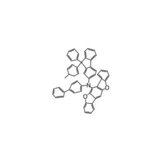 CC1C=CC(C2(c3ccccc3)c3ccccc3-c3ccc(N(c4ccc(-c5ccccc5)cc4)c4c5oc6ccccc6c5cc5oc6ccccc6c45)cc32)=CC1